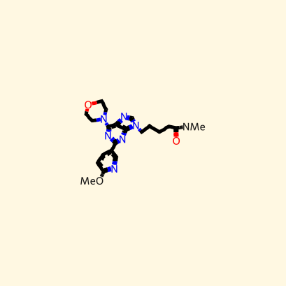 CNC(=O)CCCCn1cnc2c(N3CCOCC3)nc(-c3ccc(OC)nc3)nc21